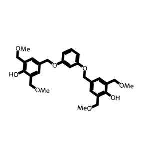 COCc1cc(COc2cccc(OCc3cc(COC)c(O)c(COC)c3)c2)cc(COC)c1O